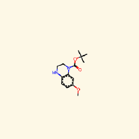 COc1ccc2c(c1)N(C(=O)OC(C)(C)C)CCN2